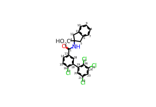 O=C(NC1(C(=O)O)Cc2ccccc2C1)c1ccc(Cl)c(-c2cc(Cl)cc(Cl)c2Cl)c1